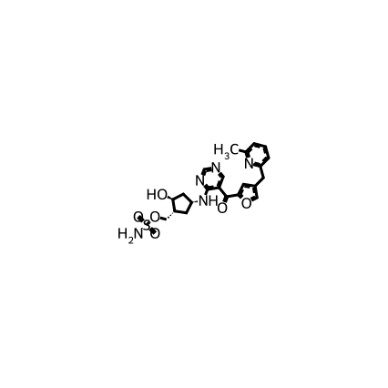 Cc1cccc(Cc2coc(C(=O)c3cncnc3N[C@@H]3C[C@H](COS(N)(=O)=O)[C@@H](O)C3)c2)n1